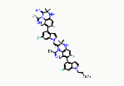 CCC(=N)N1C(=N)C(C)(C)Nc2cc(F)c(-c3cc(F)cc4c3ccn4/C=C3/N(C(=N)CC)c4c(cc(F)c(-c5cc(F)cc6c5ccn6CCOC)c4C)NC3(C)C)c(C)c21